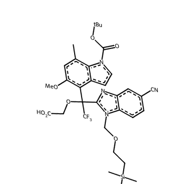 COc1cc(C)c2c(ccn2C(=O)OC(C)(C)C)c1C(OCC(=O)O)(c1nc2cc(C#N)ccc2n1COCC[Si](C)(C)C)C(F)(F)F